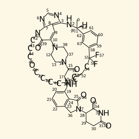 C[C@H]1Nc2ncnc3c2cc(N2CCN(C(=O)CNc4cccc5c4C(=O)N(C4CCC(=O)NC4=O)C5)CC2)c(=O)n3CCCOCCCCN2CC(C2)CC(F)(F)c2cccc1c2